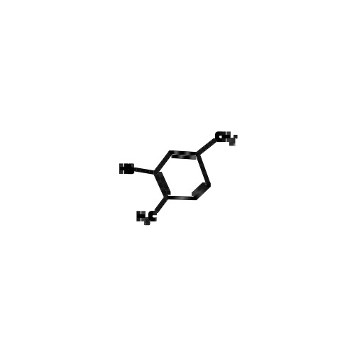 [CH2]c1ccc(C)c(S)c1